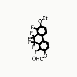 CCOc1ccc2c(c1F)C(F)(F)C(F)(F)c1c-2ccc(OC=O)c1F